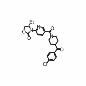 CC[C@@H]1COC(=O)N1c1ccc(C(=O)N2CCC(C(=O)c3ccc(Cl)cc3)CC2)cn1